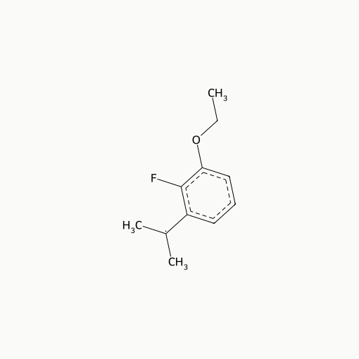 CCOc1cccc([C](C)C)c1F